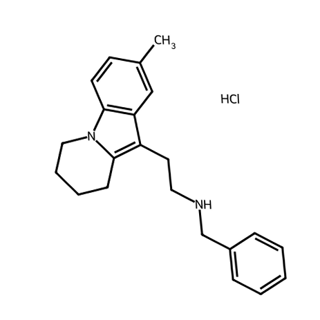 Cc1ccc2c(c1)c(CCNCc1ccccc1)c1n2CCCC1.Cl